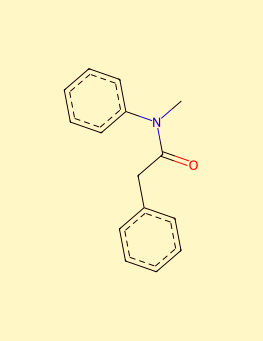 CN(C(=O)Cc1ccccc1)c1ccccc1